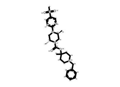 C[C@@H]1CN(c2ncc(S(C)(=O)=O)cn2)[C@@H](C)CN1C(=O)OC1(C)CCN(Cc2ccccc2)CC1